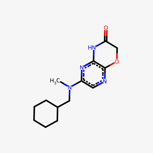 CN(CC1CCCCC1)c1cnc2c(n1)NC(=O)CO2